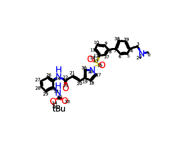 CN(C)Cc1ccc(-c2cccc(S(=O)(=O)n3ccc(C=CC(=O)Nc4ccccc4NC(=O)OC(C)(C)C)c3)c2)cc1